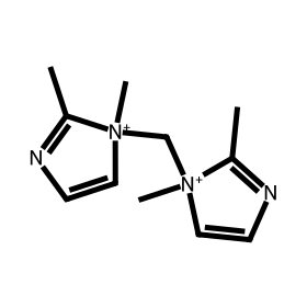 CC1=NC=C[N+]1(C)C[N+]1(C)C=CN=C1C